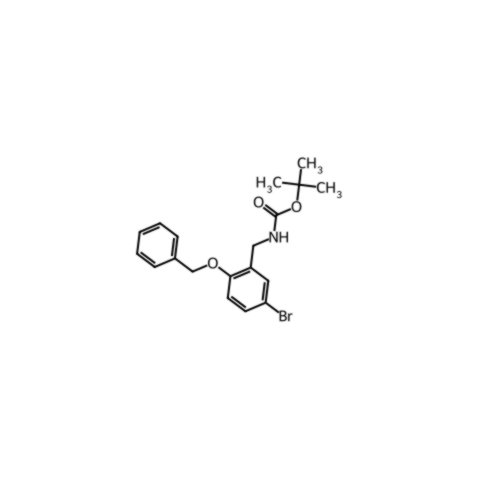 CC(C)(C)OC(=O)NCc1cc(Br)ccc1OCc1ccccc1